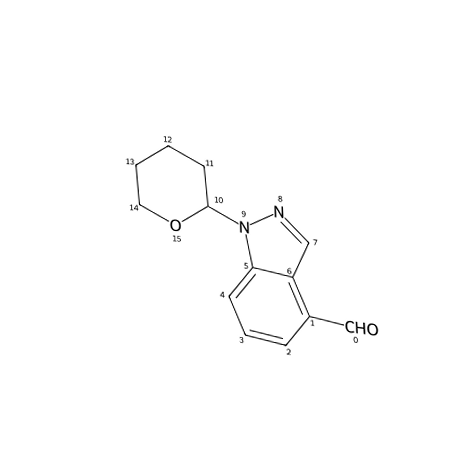 O=Cc1cccc2c1cnn2C1CCCCO1